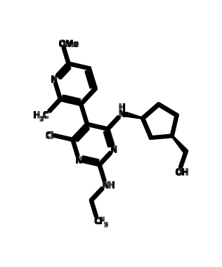 COc1ccc(-c2c(Cl)nc(NCC(F)(F)F)nc2N[C@H]2CC[C@@H](CO)C2)c(C)n1